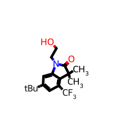 CC(C)(C)c1cc2c(c(C(F)(F)F)c1)C(C)(C)C(=O)N2CCO